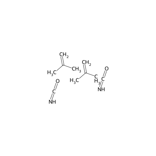 C=C(C)C.C=C(C)C.N=C=O.N=C=O